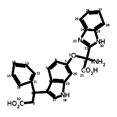 NC(Oc1ccc2c(C(CC(=O)O)c3ccccc3)c[nH]c2c1)(C(=O)O)c1nc2ccccc2[nH]1